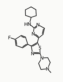 CN1CCN(c2nc(-c3ccc(F)cc3)c(-c3ccnc(NC4CCCCC4)n3)s2)CC1